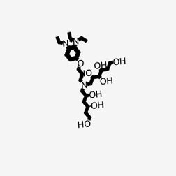 CCn1c(C)[n+](CC)c2ccc(OCCCN(CC(O)C[C@H](O)CCO)CC(O)C(O)C(O)CCO)cc21